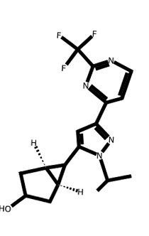 CC(C)n1nc(-c2ccnc(C(F)(F)F)n2)cc1C1[C@H]2CC(O)C[C@@H]12